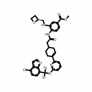 [2H]C([2H])(Oc1cccc(C2=CCC(CC(=O)Nc3ccc(C(=O)OC)cc3NC[C@@H]3CCO3)CC2)n1)c1ccc(Cl)c2ccoc12